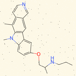 CCCNC(C)COc1ccc2c(c1)c1cc3cnccc3c(C)c1n2C